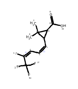 CC1(C)C(/C=C\C=C(\F)C(F)(F)F)C1C(=O)O